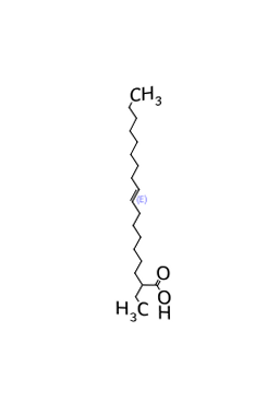 CCCCCCCC/C=C/CCCCCCC(CC)C(=O)O